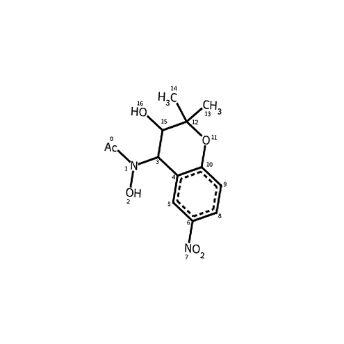 CC(=O)N(O)C1c2cc([N+](=O)[O-])ccc2OC(C)(C)C1O